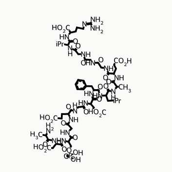 CC(C)CC(NC(=O)C(Cc1ccccc1)NC(=O)C(CC(=O)O)NC(=O)CNC(=O)C(CCC(=O)O)NC(=O)CNC(=O)C(COP(=O)(O)O)NC(=O)C(CC(=O)O)NC(=O)C(C)N)C(=O)NC(C)C(=O)NC(CCC(=O)O)C(=O)NCC(=O)NCC(=O)NCC(=O)NC(C(=O)NC(CCCN=C(N)N)C(=O)O)C(C)C